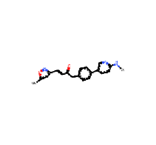 CCNc1ccc(-c2ccc(CC(=O)/C=C/c3cc(C(C)(C)C)on3)cc2)cn1